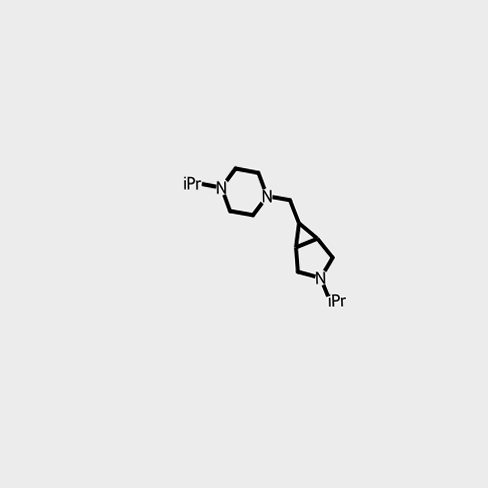 CC(C)N1CCN(CC2C3CN(C(C)C)CC23)CC1